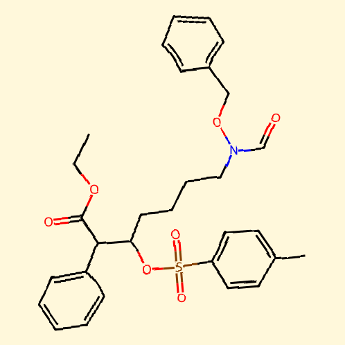 CCOC(=O)C(c1ccccc1)C(CCCCN(C=O)OCc1ccccc1)OS(=O)(=O)c1ccc(C)cc1